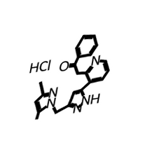 Cc1cc(C)n(Cc2cc(-c3cccnc3CC(=O)c3ccccc3)[nH]n2)n1.Cl